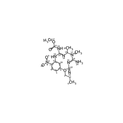 CCCOc1ccc([N+](=O)[O-])c(NC(=NC(C)N(C)C(N)=NC#N)NC(=O)OC)c1